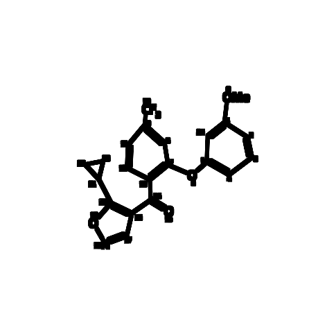 COc1cccc(Oc2cc(C(F)(F)F)ccc2C(=O)c2cnoc2C2CC2)c1